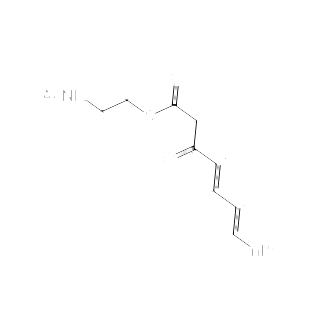 CCC/C=C/C=C/C(=O)CC(=O)SCCNC(C)=O